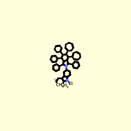 C/C=C\c1c(C)n(CC)c2ccc(-n3c(-c4ccccc4)c4c(C5=CC=CCC=C5)c(C5=CCCC=CC5)c(C5=CC=CCC5)c(-c5ccccc5)c4c3-c3ccccc3)cc12